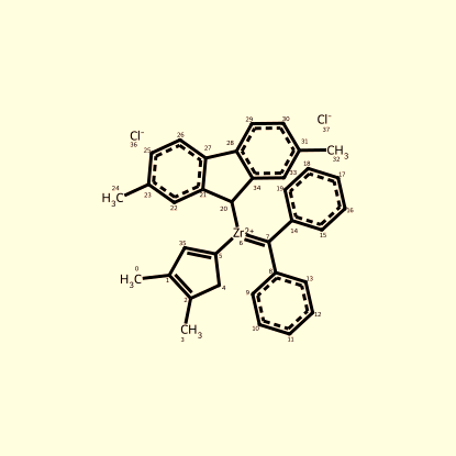 CC1=C(C)C[C]([Zr+2](=[C](c2ccccc2)c2ccccc2)[CH]2c3cc(C)ccc3-c3ccc(C)cc32)=C1.[Cl-].[Cl-]